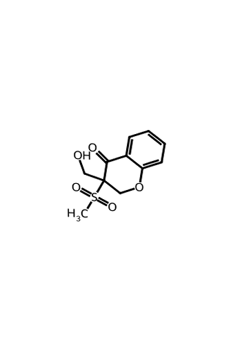 CS(=O)(=O)C1(CO)COc2ccccc2C1=O